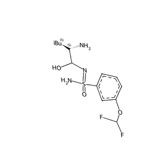 CC[C@H](C)[C@H](N)C(O)N=S(N)(=O)c1cccc(OC(F)F)c1